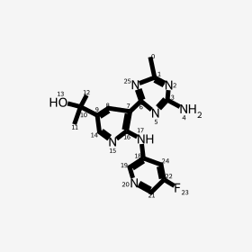 Cc1nc(N)nc(-c2cc(C(C)(C)O)cnc2Nc2cncc(F)c2)n1